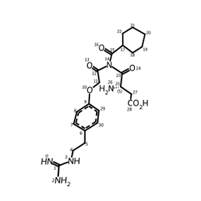 N=C(N)NCCc1ccc(OCC(=O)N(C(=O)C2CCCCC2)C(=O)[C@@H](N)CC(=O)O)cc1